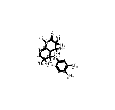 [2H]N1C(=O)C([2H])([2H])C([2H])([2H])C2([2H])C1=NCC([2H])([2H])C2([2H])Oc1ccc(N)c(C(F)(F)F)c1